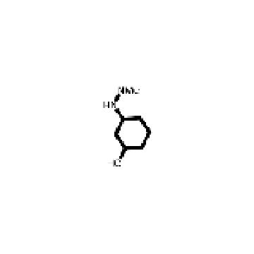 CNNC1CCCC(O)C1